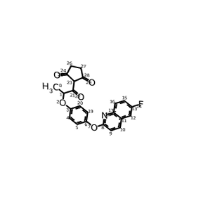 CC(Oc1ccc(Oc2ccc3cc(F)ccc3n2)cc1)C(=O)C1C(=O)CCC1=O